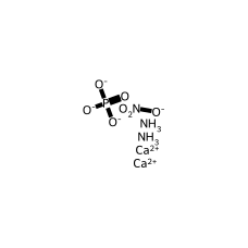 N.N.O=P([O-])([O-])[O-].O=[N+]([O-])[O-].[Ca+2].[Ca+2]